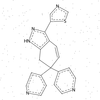 C1=CC(c2ccncc2)(c2ccncc2)Cc2[nH]nc(-c3cncs3)c21